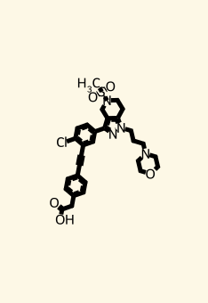 CS(=O)(=O)N1CCc2c(c(-c3ccc(Cl)c(C#Cc4ccc(CC(=O)O)cc4)c3)nn2CCCN2CCOCC2)C1